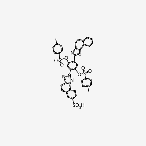 Cc1ccc(S(=O)(=O)Oc2cc(-n3nc4ccc5cc(S(=O)(=O)O)ccc5c4n3)c(OS(=O)(=O)c3ccc(C)cc3)cc2-c2nc3ccc4ccccc4c3s2)cc1